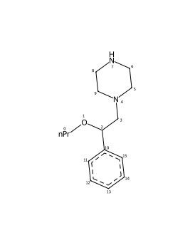 CCCOC(CN1CCNCC1)c1ccccc1